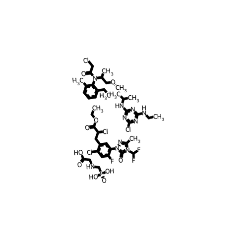 CCNc1nc(Cl)nc(NC(C)C)n1.CCOC(=O)C(Cl)Cc1cc(-n2nc(C)n(C(F)F)c2=O)c(F)cc1Cl.CCc1cccc(C)c1N(C(=O)CCl)C(C)COC.O=C(O)CNCP(=O)(O)O